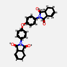 O=C1C2C=CCCC2C(=O)N1c1ccc(Oc2ccc(N3C(=O)C4C=CCCC4C3=O)cc2)cc1